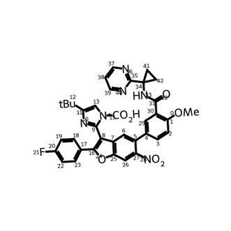 COc1ccc(-c2cc3c(-c4nc(C(C)(C)C)cn4C(=O)O)c(-c4ccc(F)cc4)oc3cc2[N+](=O)[O-])cc1C(=O)NC1(c2ncccn2)CC1